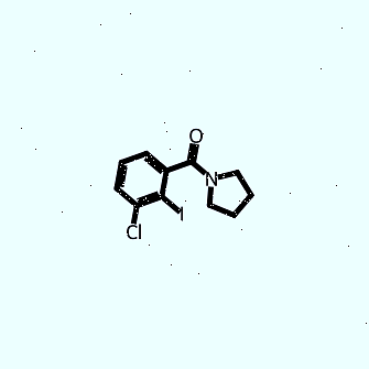 O=C(c1cccc(Cl)c1I)N1CCCC1